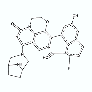 C#Cc1c(F)ccc2cc(O)cc(-c3ncc4c(N5CC6CCC(C5)N6)nc(=O)n5c4c3OCC5)c12